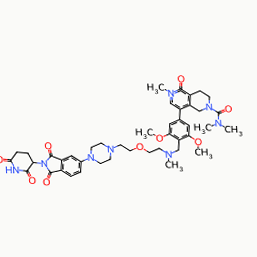 COc1cc(-c2cn(C)c(=O)c3c2CN(C(=O)N(C)C)CC3)cc(OC)c1CN(C)CCOCCN1CCN(c2ccc3c(c2)C(=O)N(C2CCC(=O)NC2=O)C3=O)CC1